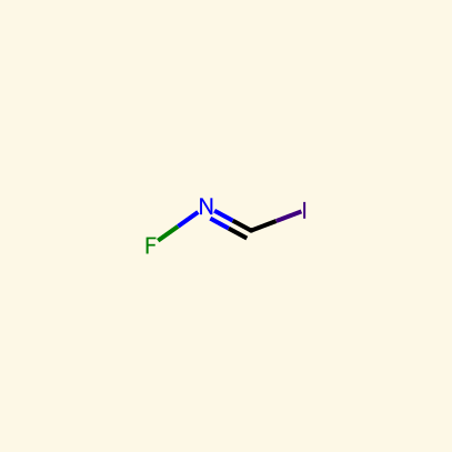 F/N=C/I